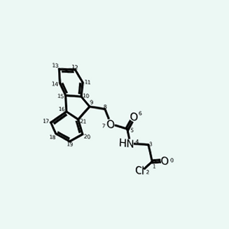 O=C(Cl)CNC(=O)OCC1c2ccccc2-c2ccccc21